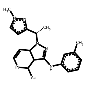 CC(=O)C1NC=CC2C1C(Nc1cccc(C)c1)=NN2[C@@H](C)c1ccn(C)n1